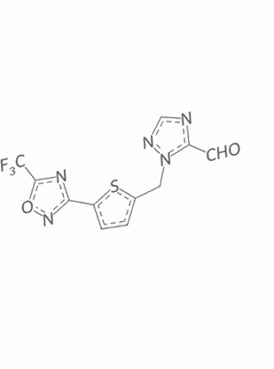 O=Cc1ncnn1Cc1ccc(-c2noc(C(F)(F)F)n2)s1